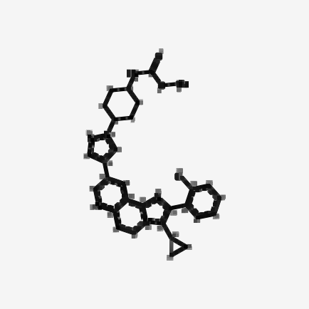 CC(C)(C)OC(=O)NC1CCC(n2cc(-c3cnc4ccn5c(C6CC6)c(-c6ccccc6Cl)nc5c4c3)cn2)CC1